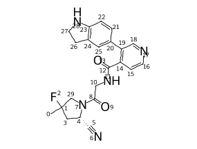 CC1(F)C[C@@H](C#N)N(C(=O)CNC(=O)c2ccncc2-c2ccc3c(c2)CCN3)C1